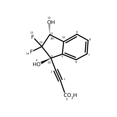 O=C(O)C#C[C@@]1(O)c2ccccc2[C@@H](O)C1(F)F